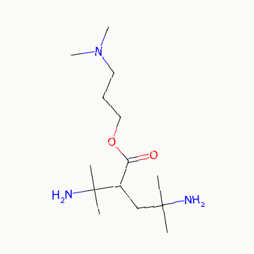 CN(C)CCCOC(=O)C(CC(C)(C)N)C(C)(C)N